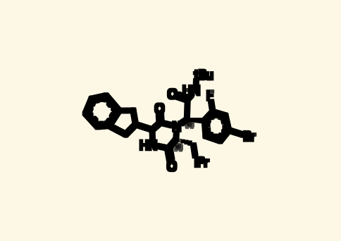 CC(C)C[C@@H]1C(=O)NC(C2Cc3ccccc3C2)C(=O)N1[C@@H](C(=O)NC(C)(C)C)c1ccc(Br)cc1F